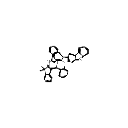 CC1(C)c2ccccc2-c2c(-c3ccccc3-n3c4ccccc4c4cc5c(cc43)sc3ccccc35)nc(-c3ccccc3)nc21